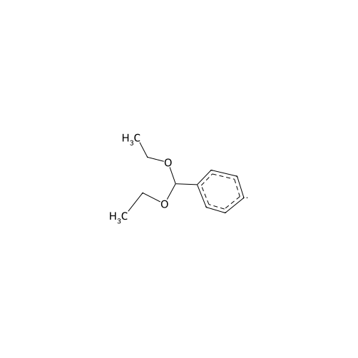 CCOC(OCC)c1cc[c]cc1